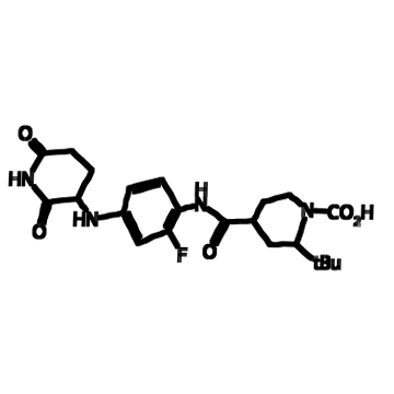 CC(C)(C)C1CC(C(=O)Nc2ccc(NC3CCC(=O)NC3=O)cc2F)CCN1C(=O)O